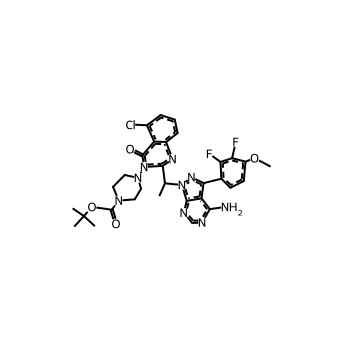 COc1ccc(-c2nn(C(C)c3nc4cccc(Cl)c4c(=O)n3N3CCN(C(=O)OC(C)(C)C)CC3)c3ncnc(N)c23)c(F)c1F